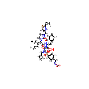 CC[C@H](C)[C@@H](C(=O)N[C@@H](Cc1ccccc1)[C@H](O)CN(CC1CCC1)S(=O)(=O)c1ccc(/C=N/O)cc1)N1CCN(Cc2csc(C)n2)C1=O